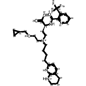 O=C(N[C@@H](CCN(CCCCc1ccc2c(n1)NCCC2)CCOCC1CC1)C(=O)O)c1ncccc1C(F)(F)F